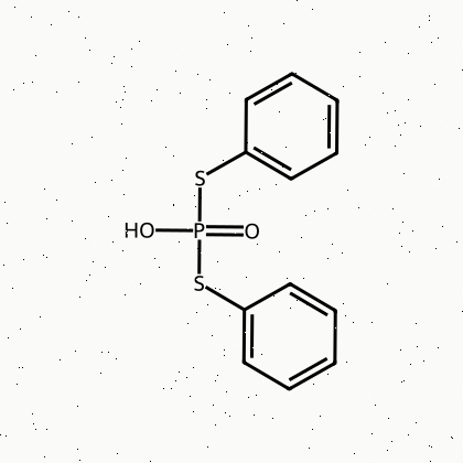 O=P(O)(Sc1ccccc1)Sc1ccccc1